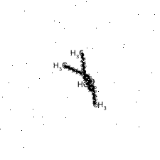 CCCCCCCCCCN(CCCCCCCCCC)c1ccc(C(=O)C(O)c2ccc(CCCCCCC)cc2)cc1